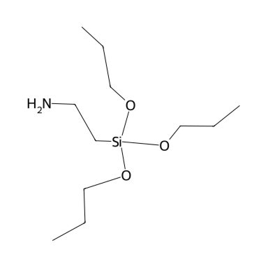 CCCO[Si](CCN)(OCCC)OCCC